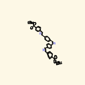 CC(C)(C)OC(=O)c1ccc(/C=C\c2ccc(/C=C\c3ccc(/C=C/c4ccc(C(=O)OC(C)(C)C)cc4)cc3)cc2)cc1